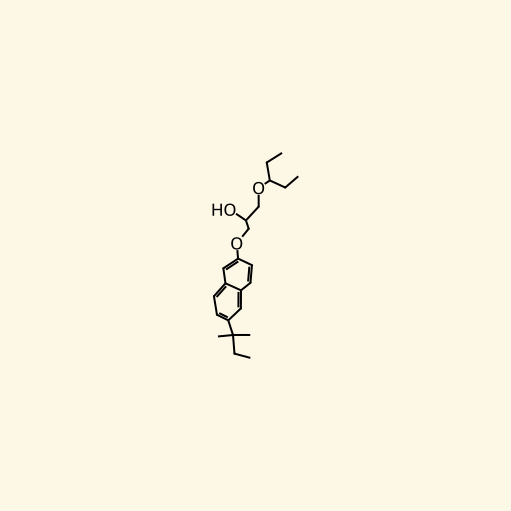 CCC(CC)OCC(O)COc1ccc2cc(C(C)(C)CC)ccc2c1